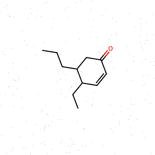 CCCC1CC(=O)C=CC1CC